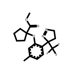 COC(=O)C1(Oc2cc(C)ccc2C2(C(F)(F)F)CCN=N2)CCCC1